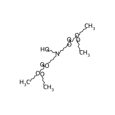 CCCCCCOC(CCC(=O)OCCCCCCN(CCCCO)CCCCCCOC(=O)CCC(OCCCCCC)OCCCCCC)OCCCCCC